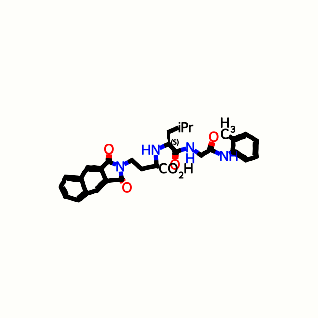 Cc1ccccc1NC(=O)CNC(=O)[C@H](CC(C)C)NC(CCN1C(=O)c2cc3ccccc3cc2C1=O)C(=O)O